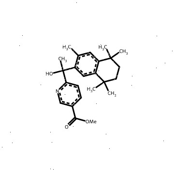 COC(=O)c1ccc(C(C)(O)c2cc3c(cc2C)C(C)(C)CCC3(C)C)nc1